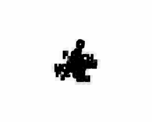 C=CCC(OCc1ccccc1)(c1nnc(-c2nc(O)c(C(F)(F)F)cc2N(C(=O)OC(C)(C)C)C(=O)OC(C)(C)C)o1)C(F)(F)F